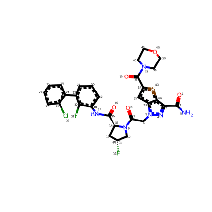 NC(=O)c1nn(CC(=O)N2C[C@H](F)C[C@H]2C(=O)Nc2cccc(-c3ccccc3Cl)c2F)c2cc(C(=O)N3CCOCC3)sc12